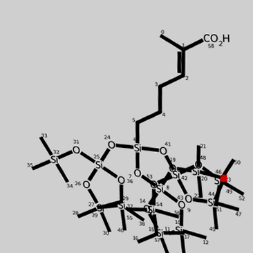 CC(=CCCC[Si](O[Si](O[Si](C)(C)C)(O[Si](C)(C)C)O[Si](C)(C)C)(O[Si](O[Si](C)(C)C)(O[Si](C)(C)C)O[Si](C)(C)C)O[Si](O[Si](C)(C)C)(O[Si](C)(C)C)O[Si](C)(C)C)C(=O)O